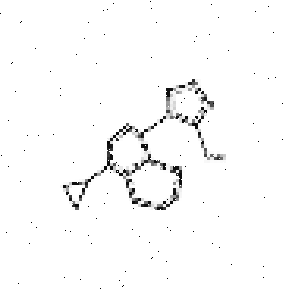 CSc1nncn1-c1ccc(C2CC2)c2ccccc12